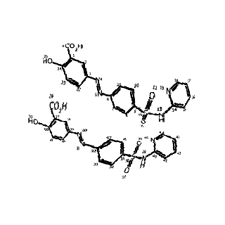 O=C(O)c1cc(N=Nc2ccc(S(=O)(=O)Nc3ccccn3)cc2)ccc1O.O=C(O)c1cc(N=Nc2ccc(S(=O)(=O)Nc3ccccn3)cc2)ccc1O